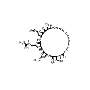 CSCCC1NC(=O)[C@H](CCCNC(=N)N)NC(=O)C(CCC(=O)O)NC(=O)[C@H]([C@@H](C)O)NC(=O)CCCCCCCCCCCNC(C)C(=O)C1=O